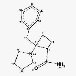 NC(=O)C1CCC1([CH]c1ccccc1)N1CCCC1